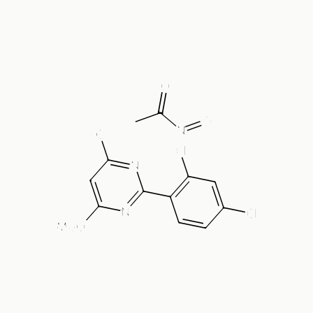 CC(=O)N=O.COc1cc(Cl)nc(-c2ccc(Cl)cc2Cl)n1